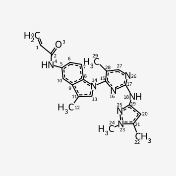 C=CC(=O)Nc1ccc2c(c1)c(C)cn2-c1nc(Nc2cc(C)n(C)n2)ncc1C